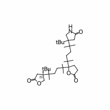 CC(C)(C)C1(C(C)(C)CCC(C)(C)C2(C(C)(C)CCC(C)(C)[C@]3(C(C)(C)C)COC(=O)C3)CCC(=O)O2)CNC(=O)C1